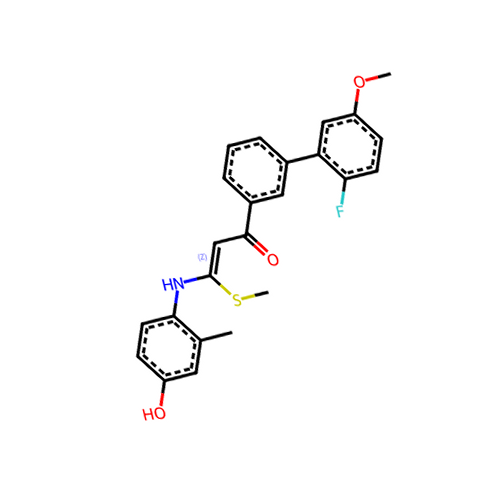 COc1ccc(F)c(-c2cccc(C(=O)/C=C(/Nc3ccc(O)cc3C)SC)c2)c1